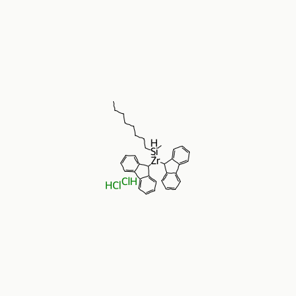 CCCCCCCC[SiH](C)[Zr]([CH]1c2ccccc2-c2ccccc21)[CH]1c2ccccc2-c2ccccc21.Cl.Cl